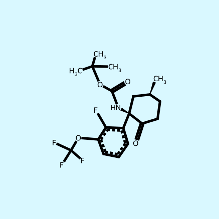 C[C@H]1CCC(=O)[C@](NC(=O)OC(C)(C)C)(c2cccc(OC(F)(F)F)c2F)C1